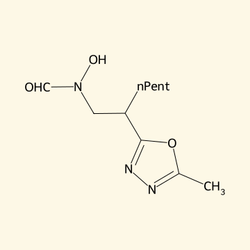 CCCCCC(CN(O)C=O)c1nnc(C)o1